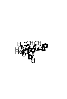 C=CCc1c(OCc2ccc3ccccc3n2)ccc2c1c(SC(C)(C)C)c(CC(C)(C)C(=O)O)n2Cc1ccc(Cl)cc1